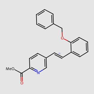 COC(=O)c1ccc(/C=C/c2ccccc2OCc2ccccc2)cn1